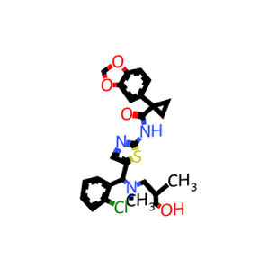 CC(CO)CN(C)C(c1cnc(NC(=O)C2(c3ccc4c(c3)OCO4)CC2)s1)c1ccccc1Cl